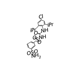 CC(C)c1cc(Cl)cc(C(C)C)c1NC(=O)NS(=O)(=O)c1cccc(S(N)(=O)=O)c1